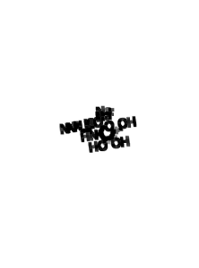 [N-]=[N+]=NCC(=O)N[C@H]1C(O)O[C@H](CO)[C@H](O)[C@@H]1O.[Na].[Na]